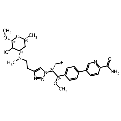 CO[C@@H]1O[C@H](C)C[C@H](N(C)CCc2cn([C@H](CF)[C@H](OC)c3ccc(-c4ccc(C(N)=O)nc4)cc3)nn2)C1O